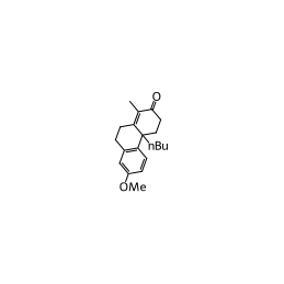 CCCCC12CCC(=O)C(C)=C1CCc1cc(OC)ccc12